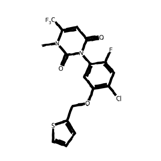 Cn1c(C(F)(F)F)cc(=O)n(-c2cc(OCc3cccs3)c(Cl)cc2F)c1=O